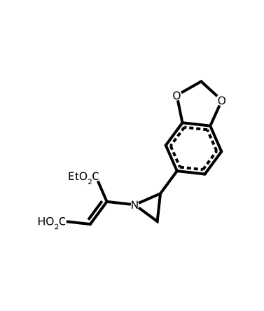 CCOC(=O)C(=CC(=O)O)N1CC1c1ccc2c(c1)OCO2